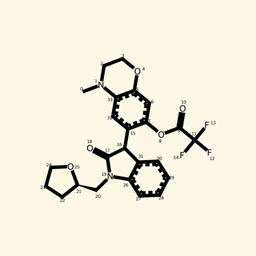 CN1CCOc2cc(OC(=O)C(F)(F)F)c(C3C(=O)N(C[C@H]4CCCO4)c4ccccc43)cc21